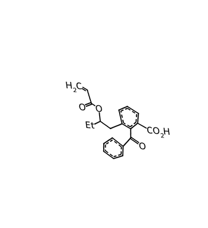 C=CC(=O)OC(CC)Cc1cccc(C(=O)O)c1C(=O)c1ccccc1